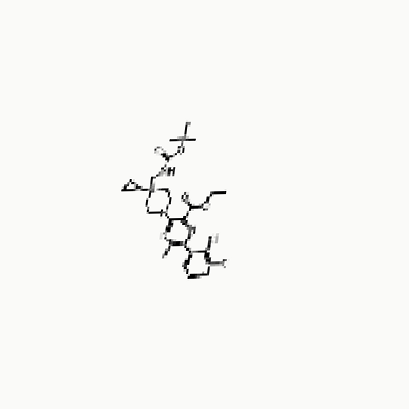 CCOC(=O)c1nc(-c2cccc(Cl)c2Cl)c(C)nc1N1CCC(CNC(=O)OC(C)(C)C)(C2CC2)CC1